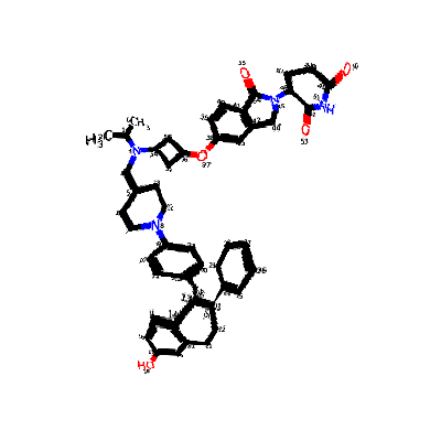 CC(C)N(CC1CCN(c2ccc([C@@H]3c4ccc(O)cc4CC[C@@H]3C3=CC=CCC3)cc2)CC1)C1CC(Oc2ccc3c(c2)CN(C2CCC(=O)NC2=O)C3=O)C1